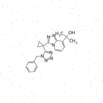 CC(C)(O)c1cccn2c(C3(c4nnnn4Cc4ccccc4)CC3)nnc12